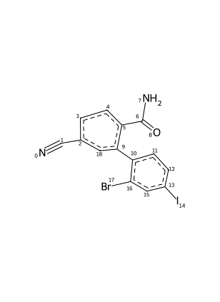 N#Cc1ccc(C(N)=O)c(-c2ccc(I)cc2Br)c1